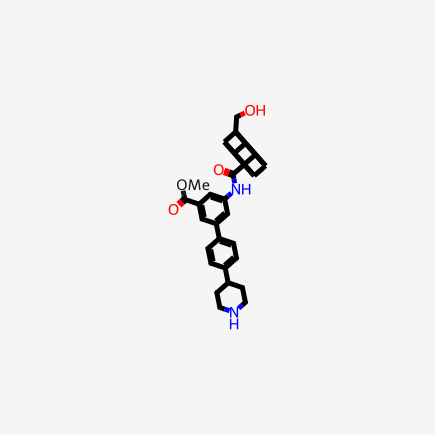 COC(=O)c1cc(NC(=O)C23C4C5C2C2C3C4C52CO)cc(-c2ccc(C3CCNCC3)cc2)c1